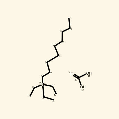 CCCCCCCCC[N+](CC)(CC)CC.O=C(O)O